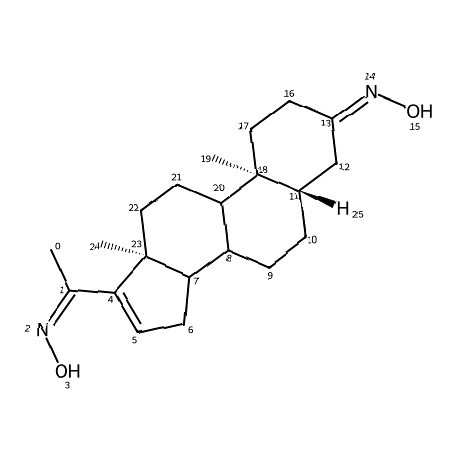 C/C(=N/O)C1=CCC2C3CC[C@H]4C/C(=N\O)CC[C@]4(C)C3CC[C@]12C